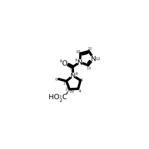 CC1[C@@H](C(=O)O)CCN1C(=O)n1ccnc1